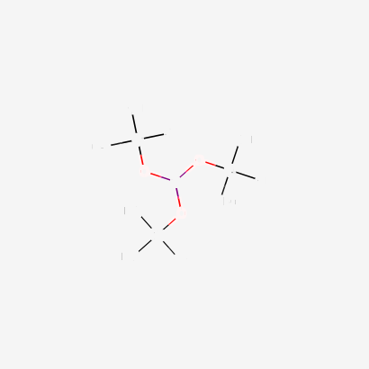 CC(C)(C)[Si](C)(C)OP(O[Si](C)(C)C(C)(C)C)O[Si](C)(C)C(C)(C)C